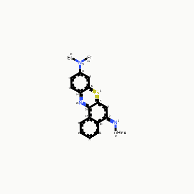 CCCCCC/N=c1/cc2sc3cc(N(CC)CC)ccc3nc-2c2ccccc12